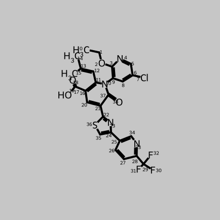 CCOc1ncc(Cl)cc1-n1c(C=C(C)C)c(C(=O)O)cc(-c2nc(-c3ccc(C(F)(F)F)nc3)cs2)c1=O